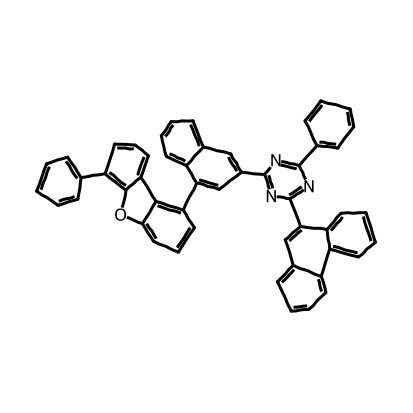 c1ccc(-c2nc(-c3cc(-c4cccc5oc6c(-c7ccccc7)cccc6c45)c4ccccc4c3)nc(-c3cc4ccccc4c4ccccc34)n2)cc1